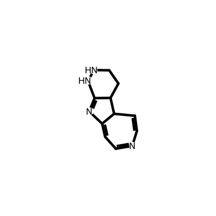 C1=CC2C(=CC=N1)N=C1NNCCC12